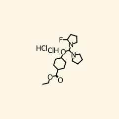 CCOC(=O)C1CCC(OC(N2CCCC2)N2CCCC2F)CC1.Cl.Cl